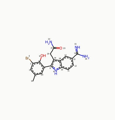 Cc1cc(Br)c(O)c(-c2[nH]c3ccc(C(=N)N)cc3c2CC(N)=O)c1